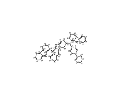 c1ccc(-c2ccc(N(c3ccc4oc5c(-c6cccc7c6oc6ccccc67)c6ccccc6cc5c4c3)c3cccc4c3oc3ccccc34)cc2)cc1